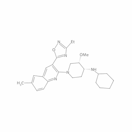 CCc1noc(-c2cc3cc(C)ccc3nc2N2CC[C@@H](NC3CCCCC3)[C@@H](OC)C2)n1